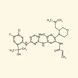 C=CC(=O)Nc1cc(Nc2ncnc(Nc3cc(Cl)c(F)cc3C(C)(C)O)n2)c(OC)cc1N1CCOCC1CN(C)C